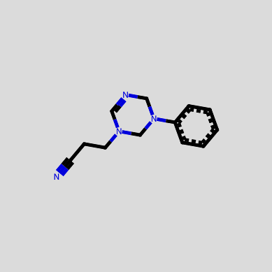 N#CCCN1C=NCN(c2ccccc2)C1